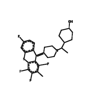 Cc1c(F)c(F)c2c(c1F)C(=C1CCN(C(C)C3CCC(O)CC3)CC1)c1ccc(F)cc1S2